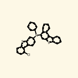 Clc1cccc2sc3cc(N(c4ccccc4)c4cc5sc6ccccc6c5c5ccccc45)ccc3c12